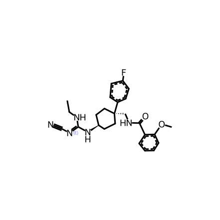 CCN/C(=N\C#N)N[C@H]1CC[C@@](CNC(=O)c2ccccc2OC)(c2ccc(F)cc2)CC1